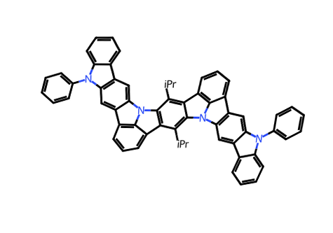 CC(C)c1c2c3cccc4c5cc6c(cc5n(c2c(C(C)C)c2c5cccc7c8cc9c(cc8n(c12)c75)c1ccccc1n9-c1ccccc1)c43)c1ccccc1n6-c1ccccc1